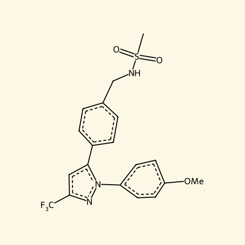 COc1ccc(-n2nc(C(F)(F)F)cc2-c2ccc(CNS(C)(=O)=O)cc2)cc1